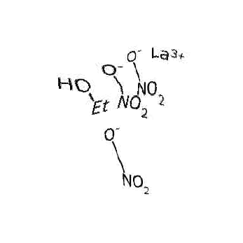 CCO.O=[N+]([O-])[O-].O=[N+]([O-])[O-].O=[N+]([O-])[O-].[La+3]